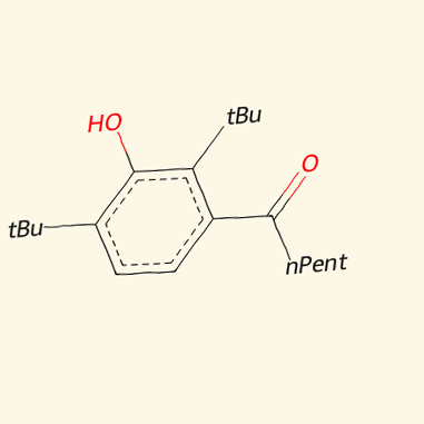 CCCCCC(=O)c1ccc(C(C)(C)C)c(O)c1C(C)(C)C